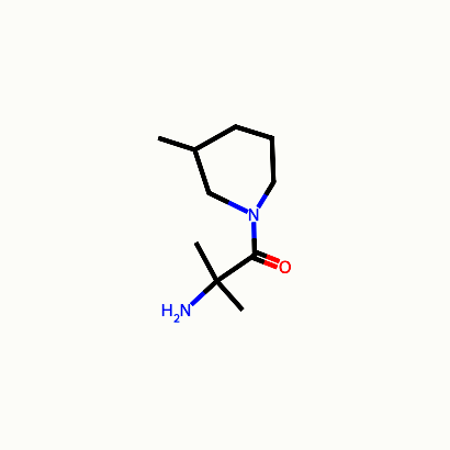 CC1CCCN(C(=O)C(C)(C)N)C1